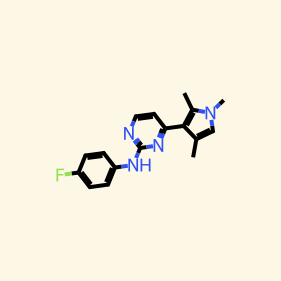 Cc1cn(C)c(C)c1-c1ccnc(Nc2ccc(F)cc2)n1